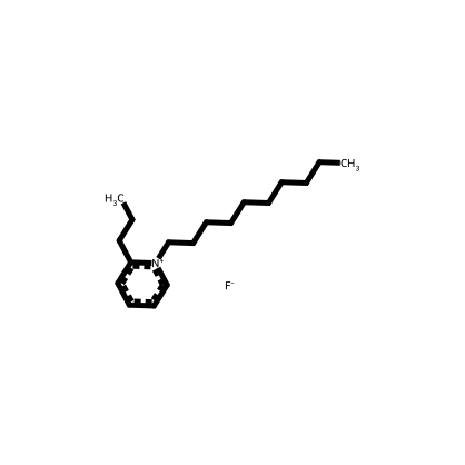 CCCCCCCCCC[n+]1ccccc1CCC.[F-]